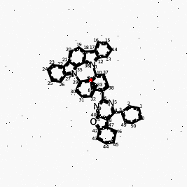 c1ccc(-c2nc(-c3ccc(-n4c5ccccc5c5ccc6c7ccccc7n(-c7ccccc7)c6c54)cc3)nc3oc4ccccc4c23)cc1